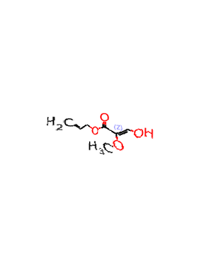 C=CCOC(=O)/C(=C/O)OC